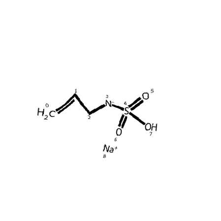 C=CC[N-]S(=O)(=O)O.[Na+]